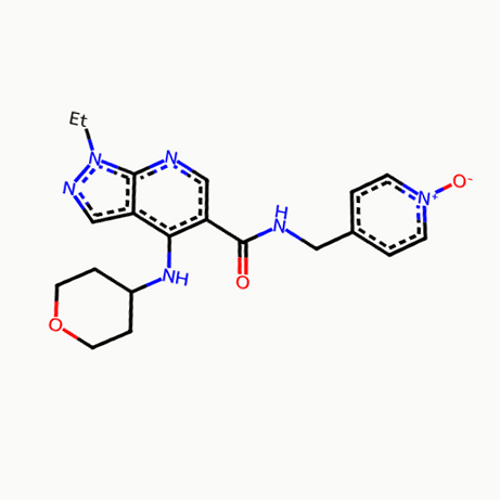 CCn1ncc2c(NC3CCOCC3)c(C(=O)NCc3cc[n+]([O-])cc3)cnc21